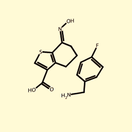 NCc1ccc(F)cc1.O=C(O)c1csc2c1CCCC2=NO